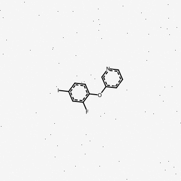 Fc1cc(I)ccc1Oc1cccnc1